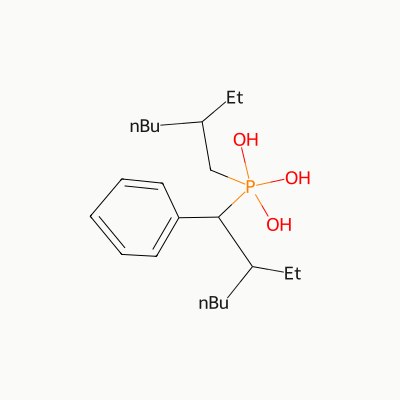 CCCCC(CC)CP(O)(O)(O)C(c1ccccc1)C(CC)CCCC